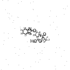 CC(C)(C)OC(=O)N1C[C@H](Oc2nc3ccccc3s2)C[C@H]1C(=O)O